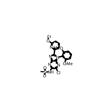 CCOc1cccc(-c2nc3nc(NS(C)(=O)=O)c(Cl)nc3n2-c2c(OC)cccc2OC)n1